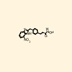 O=C(/C=C/c1ccc(Cc2nc3cccc([N+](=O)[O-])c3[nH]2)cc1)NO